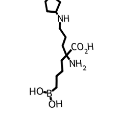 NC(CCCCB(O)O)(CCCNC1CCCC1)C(=O)O